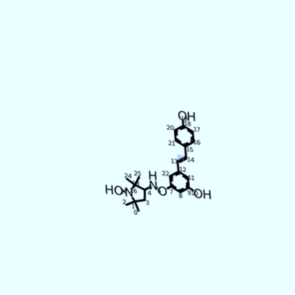 CC1(C)CC(NOc2cc(O)cc(/C=C/c3ccc(O)cc3)c2)C(C)(C)N1O